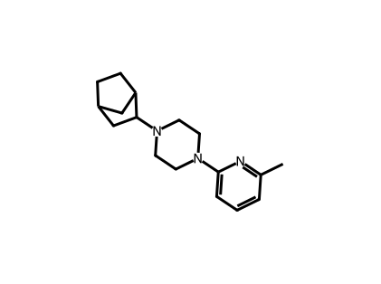 Cc1cccc(N2CCN(C3CC4CCC3C4)CC2)n1